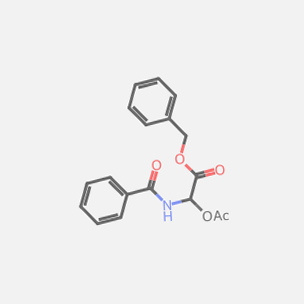 CC(=O)OC(NC(=O)c1ccccc1)C(=O)OCc1ccccc1